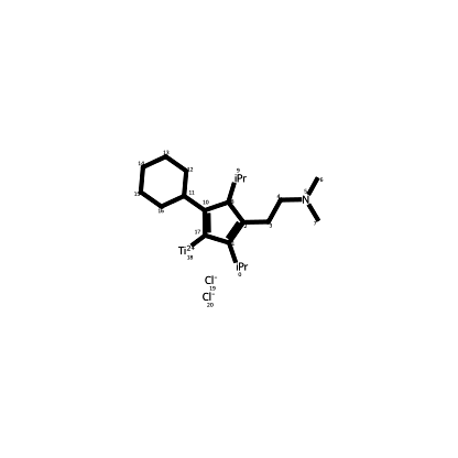 CC(C)C1=C(CCN(C)C)C(C(C)C)C(C2CCCCC2)=[C]1[Ti+2].[Cl-].[Cl-]